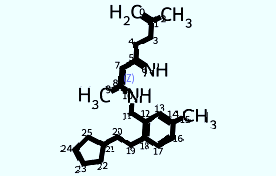 C=C(C)CCC(=N)/C=C(/C)NCc1cc(C)ccc1CCC1CCCC1